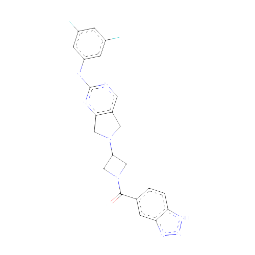 O=C(c1ccc2[nH]nnc2c1)N1CC(N2Cc3cnc(Nc4cc(F)cc(F)c4)nc3C2)C1